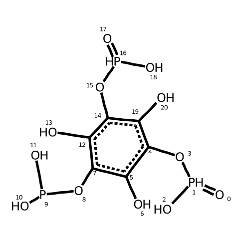 O=[PH](O)Oc1c(O)c(OP(O)O)c(O)c(O[PH](=O)O)c1O